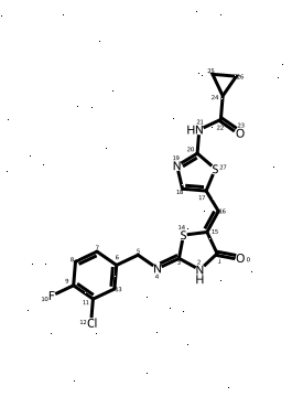 O=C1N/C(=N/Cc2ccc(F)c(Cl)c2)S/C1=C\c1cnc(NC(=O)C2CC2)s1